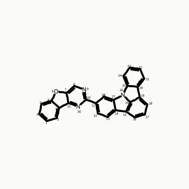 c1ccc2c(c1)oc1cnc(-c3ccc4c5cccc6c7ccccc7n(c4c3)c65)nc12